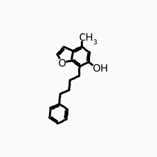 Cc1cc(O)c(CCCCc2ccccc2)c2occc12